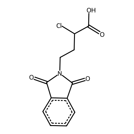 O=C(O)C(Cl)CCN1C(=O)c2ccccc2C1=O